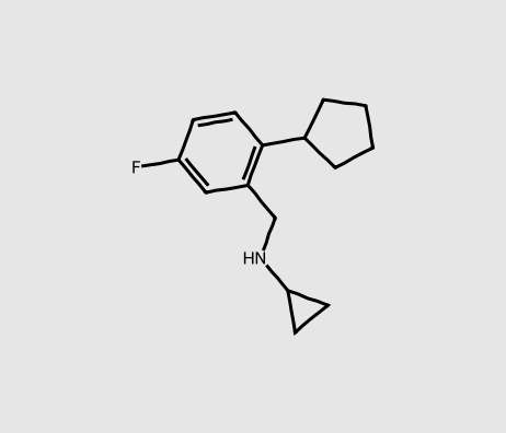 Fc1ccc(C2CCCC2)c(CNC2CC2)c1